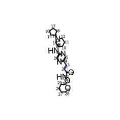 O=C(/C=C/c1cnc(N[C@@H]2CCCN(C3CCCC3)C2)cn1)NOC1CCCCO1